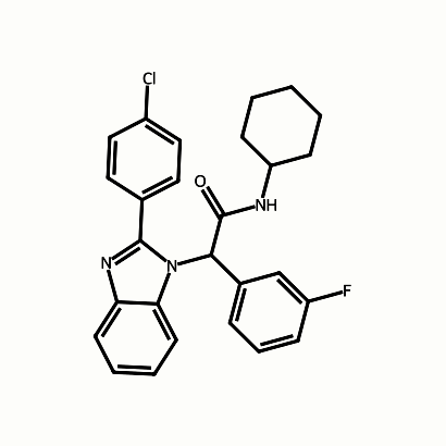 O=C(NC1CCCCC1)C(c1cccc(F)c1)n1c(-c2ccc(Cl)cc2)nc2ccccc21